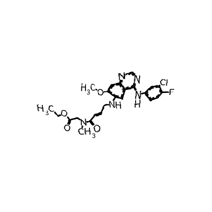 CCOC(=O)CN(C)C(=O)C=CCNc1cc2c(Nc3ccc(F)c(Cl)c3)ncnc2cc1OC